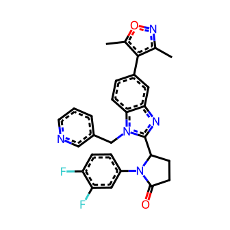 Cc1noc(C)c1-c1ccc2c(c1)nc(C1CCC(=O)N1c1ccc(F)c(F)c1)n2Cc1cccnc1